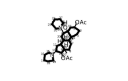 CC(=O)O[C@H]1CC[C@]2(C)[C@H]3CC[C@@]4(C)[C@@H](C[C@H](N5CCCCC5)[C@@H]4OC(C)=O)[C@@H]3C[C@@H](N3CCCCC3)[C@@]2(O)C1